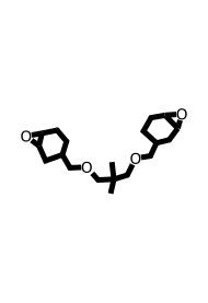 CC(C)(COCC1CCC2OC2C1)COCC1CCC2OC2C1